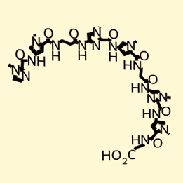 Cn1cc(NC(=O)c2nc(NC(=O)CCNC(=O)c3cc(NC(=O)c4nc(NC(=O)CCNC(=O)c5cc(NC(=O)c6nccn6C)cn5C)cn4C)cn3C)cn2C)cc1C(=O)NCCC(=O)O